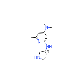 Cc1cc(N(C)C)cc(N[C@H]2CCNC2)n1